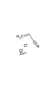 C=CC#N.[Cl-].[Cl-].[Zn+2]